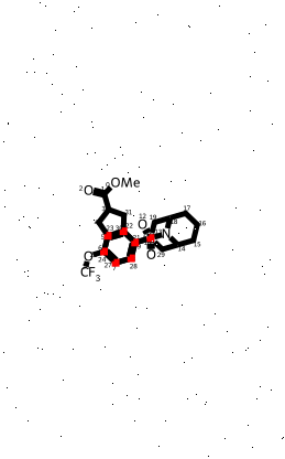 COC(=O)C1Cc2cccc(S(=O)(=O)N3C4CCCC3CN(c3ccc(OC(F)(F)F)cc3)C4)c2C1